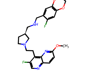 COc1ccc2ncc(F)c(CCN3CC[C@@H](CNCc4cc5c(cc4F)OCCO5)C3)c2n1